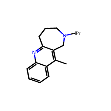 Cc1c2c(nc3ccccc13)CCCN(C(C)C)C2